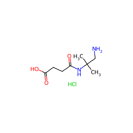 CC(C)(CN)NC(=O)CCC(=O)O.Cl